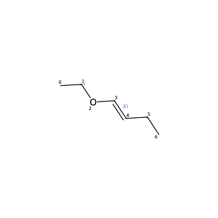 C[CH]O/C=C/CC